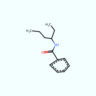 CCCC(CC)NC(=O)c1cc[c]cc1